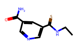 CCNC(=S)c1cncc(C(N)=O)c1